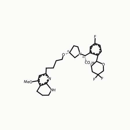 COc1cc(CCCCO[C@@H]2CCN([C@@H](C(=O)O)c3cc(F)ccc3C3CCC(F)(F)CO3)C2)nc2c1CCCN2